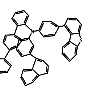 c1ccc(-c2ccc(-c3ccccc3N(c3ccc(-c4cccc5sc6ccccc6c45)cc3)c3cccc(-c4cccc5ccccc45)c3)cc2)cc1